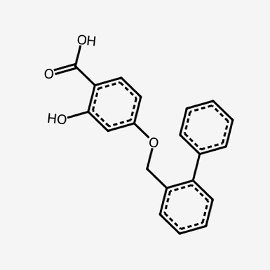 O=C(O)c1ccc(OCc2ccccc2-c2ccccc2)cc1O